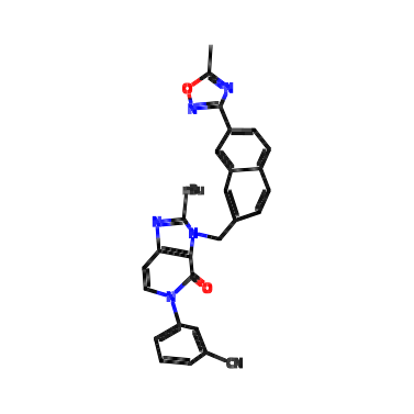 CCCCc1nc2ccn(-c3cccc(C#N)c3)c(=O)c2n1Cc1ccc2ccc(-c3noc(C)n3)cc2c1